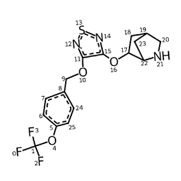 FC(F)(F)Oc1ccc(COc2nsnc2OC2CC3CNC2C3)cc1